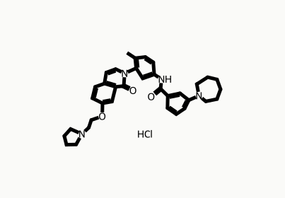 Cc1ccc(NC(=O)c2cccc(N3CCCCCC3)c2)cc1-n1ccc2ccc(OCCN3CCCC3)cc2c1=O.Cl